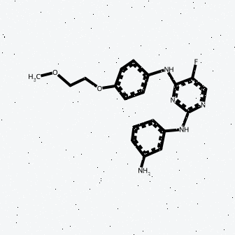 COCCOc1ccc(Nc2nc(Nc3cccc(N)c3)ncc2F)cc1